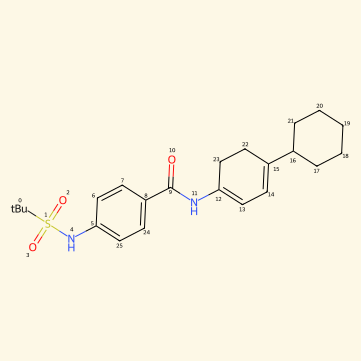 CC(C)(C)S(=O)(=O)Nc1ccc(C(=O)NC2=CC=C(C3CCCCC3)CC2)cc1